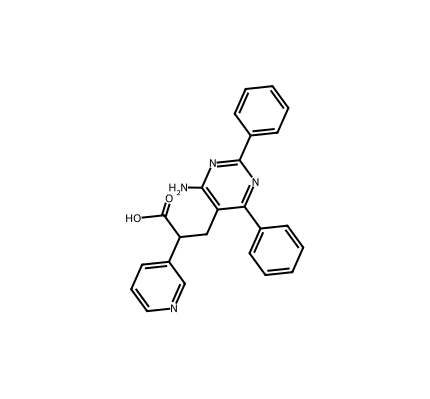 Nc1nc(-c2ccccc2)nc(-c2ccccc2)c1CC(C(=O)O)c1cccnc1